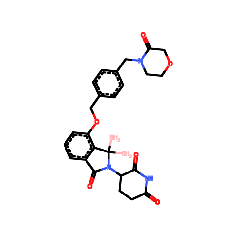 BC1(B)c2c(OCc3ccc(CN4CCOCC4=O)cc3)cccc2C(=O)N1C1CCC(=O)NC1=O